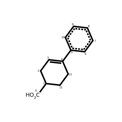 O=C(O)C1CC=C(c2ccccc2)CC1